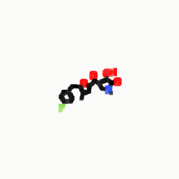 Cc1cc(C(=O)C2=C(O)C(=O)N(C)C2)oc1Cc1ccc(F)cc1